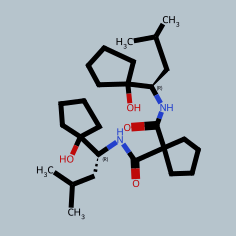 CC(C)C[C@@H](NC(=O)C1(C(=O)N[C@H](CC(C)C)C2(O)CCCC2)CCCC1)C1(O)CCCC1